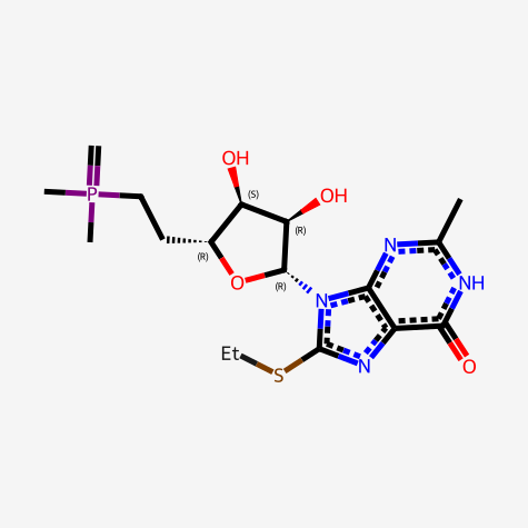 C=P(C)(C)CC[C@H]1O[C@@H](n2c(SCC)nc3c(=O)[nH]c(C)nc32)[C@H](O)[C@@H]1O